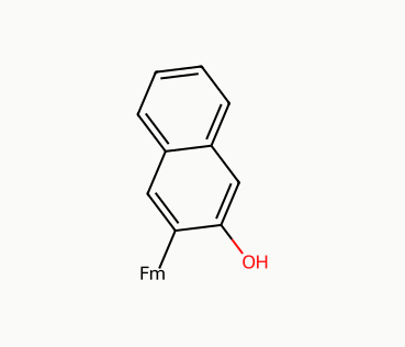 Oc1cc2ccccc2c[c]1[Fm]